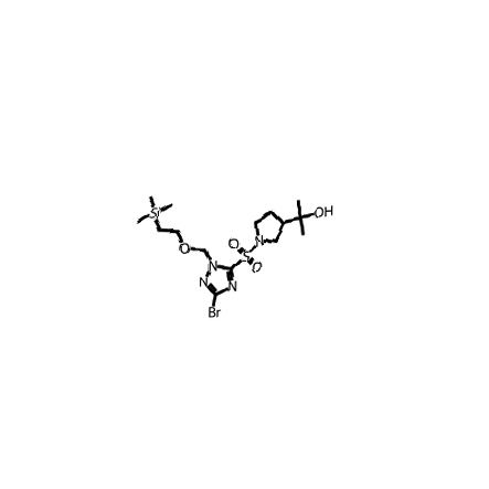 CC(C)(O)C1CCN(S(=O)(=O)c2nc(Br)nn2COCC[Si](C)(C)C)C1